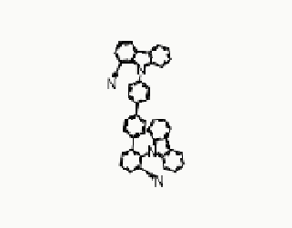 N#Cc1cccc(-c2ccc(-c3ccc(-n4c5ccccc5c5cccc(C#N)c54)cc3)cc2)c1-n1c2ccccc2c2ccccc21